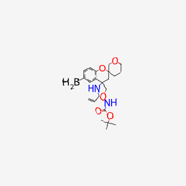 Bc1ccc2c(c1)C(CONC(=O)OC(C)(C)C)(NCC=C)CC1(CCCOC1)O2